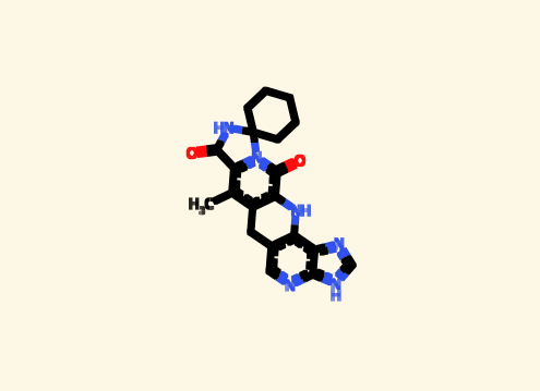 Cc1c2c(c(=O)n3c1C(=O)NC31CCCCC1)Nc1c(cnc3[nH]cnc13)C2